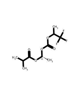 CC(C)C(=O)O[C@@H](C)OC(=O)OC(C)C(F)(F)F